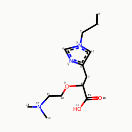 CCCn1cnc(CC(OCCN(C)C)C(=O)O)c1